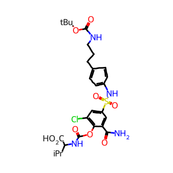 CC(C)C(NC(=O)Oc1c(Cl)cc(S(=O)(=O)Nc2ccc(CCCNC(=O)OC(C)(C)C)cc2)cc1C(N)=O)C(=O)O